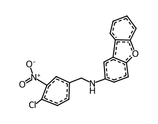 O=[N+]([O-])c1cc(CNc2ccc3oc4ccccc4c3c2)ccc1Cl